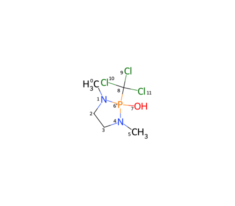 CN1CCN(C)[P]1(O)C(Cl)(Cl)Cl